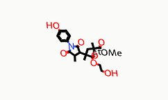 CCC(C)(CC(C)(C(=O)OCCO)C1C(=O)N(c2ccc(O)cc2)C(=O)C1C)C(=O)OC